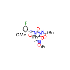 COc1ccc(F)cc1/C(=C/n1cc(/C(C)=N/OC(C)C)c(=O)n(N(C)C(=O)C(C)(C)C)c1=O)OC(C)C